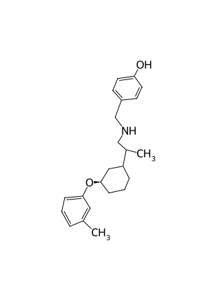 Cc1cccc(O[C@@H]2CCCC(C(C)CNCc3ccc(O)cc3)C2)c1